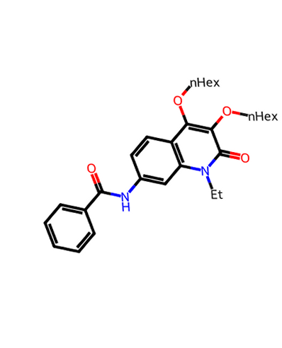 CCCCCCOc1c(OCCCCCC)c2ccc(NC(=O)c3ccccc3)cc2n(CC)c1=O